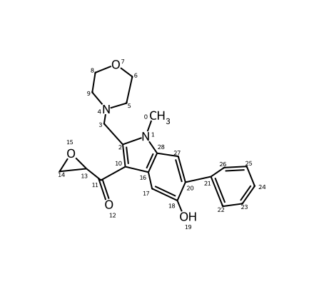 Cn1c(CN2CCOCC2)c(C(=O)C2CO2)c2cc(O)c(-c3ccccc3)cc21